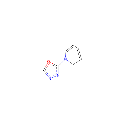 C1=CCN(c2nnco2)C=C1